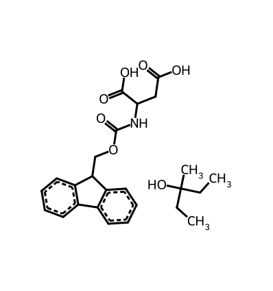 CCC(C)(O)CC.O=C(O)CC(NC(=O)OCC1c2ccccc2-c2ccccc21)C(=O)O